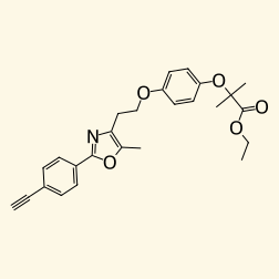 C#Cc1ccc(-c2nc(CCOc3ccc(OC(C)(C)C(=O)OCC)cc3)c(C)o2)cc1